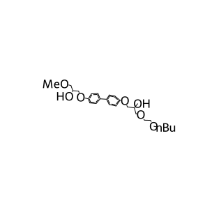 CCCCOCCOCC(O)COc1ccc(-c2ccc(OCC(O)COC)cc2)cc1